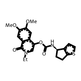 CCn1cc(OC(=O)N[C@@H]2CCc3sccc32)c2cc(OC)c(OC)cc2c1=O